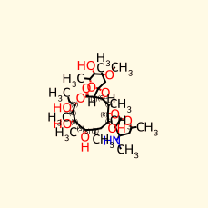 CC[C@H]1OC(=O)[C@H]2[C@@H](OC23CC(C)(OC)C(O)C(C)O3)[C@H](C)[C@@H](OC2CC(NC)CC(C)O2)[C@@](C)(O)C[C@@H](C)[C@H](O)[C@H](C)[C@@H](O)[C@]1(C)O